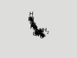 Cn1c(=O)n(CCN2CCN(c3ccc(OCc4cn[nH]n4)cc3F)CC2)c2nc(N)n3nc(-c4ccco4)nc3c21